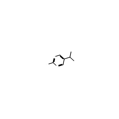 CC(C)c1cnc(S)nc1